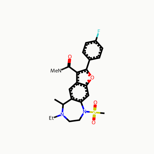 CCN1CCN(S(C)(=O)=O)c2cc3oc(-c4ccc(F)cc4)c(C(=O)NC)c3cc2C1C